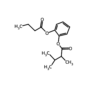 CCCC(=O)Oc1ccccc1OC(=O)C(C)C(C)C